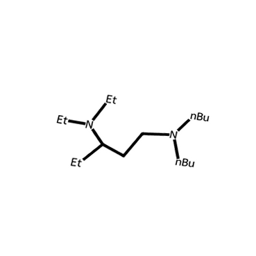 [CH2]CC(CCN(CCCC)CCCC)N(CC)CC